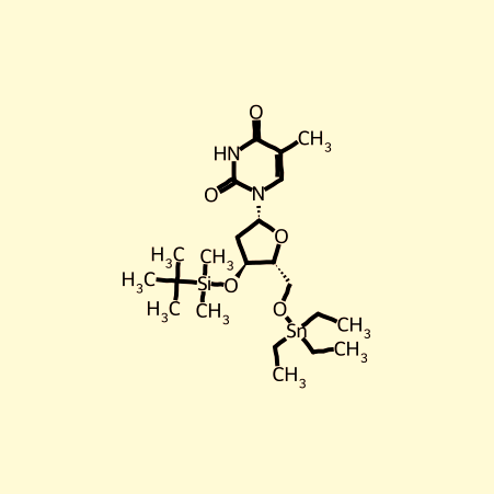 C[CH2][Sn]([CH2]C)([CH2]C)[O]C[C@H]1O[C@@H](n2cc(C)c(=O)[nH]c2=O)C[C@@H]1O[Si](C)(C)C(C)(C)C